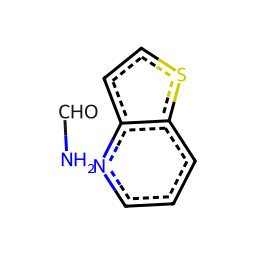 NC=O.c1cnc2ccsc2c1